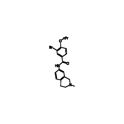 CCCOc1ccc(C(=O)Nc2ccc3c(c2)CN(C)CC3)cc1Br